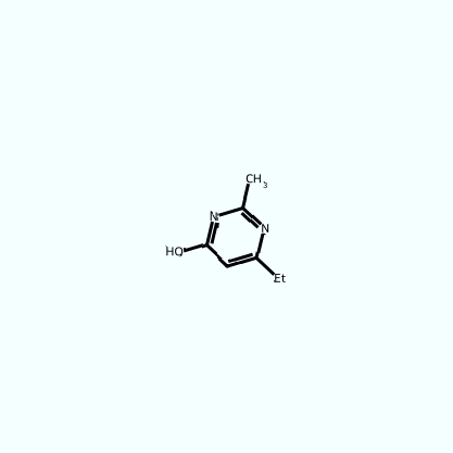 CCc1cc(O)nc(C)n1